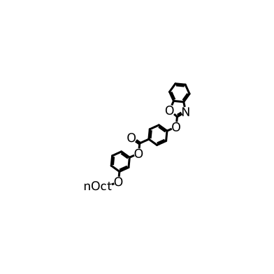 CCCCCCCCOc1cccc(OC(=O)c2ccc(Oc3nc4ccccc4o3)cc2)c1